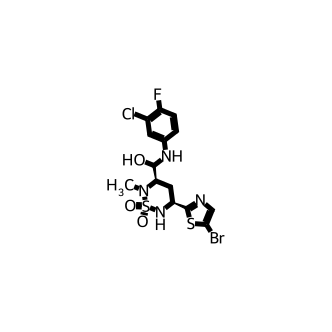 CN1[C@@H](C(O)Nc2ccc(F)c(Cl)c2)C[C@@H](c2ncc(Br)s2)NS1(=O)=O